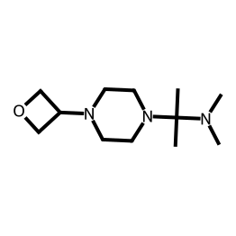 CN(C)C(C)(C)N1CCN(C2COC2)CC1